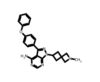 CN1CC2(CC(n3nc(-c4ccc(Oc5ccccc5)cc4)c4c(N)ncnc43)C2)C1